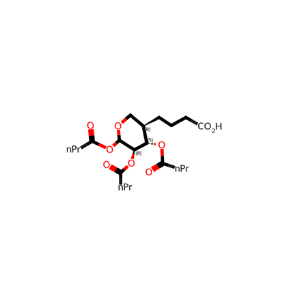 CCCC(=O)OC1OC[C@@H](CCCC(=O)O)[C@H](OC(=O)CCC)[C@H]1OC(=O)CCC